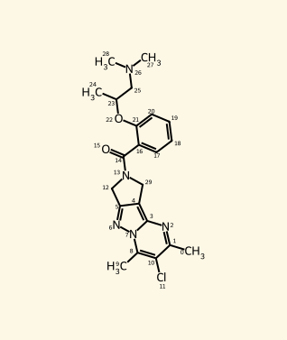 Cc1nc2c3c(nn2c(C)c1Cl)CN(C(=O)c1ccccc1OC(C)CN(C)C)C3